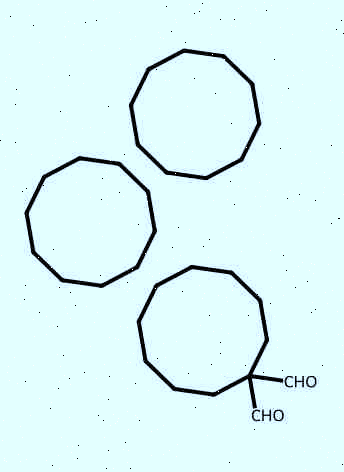 C1CCCCCCCCC1.C1CCCCCCCCC1.O=CC1(C=O)CCCCCCCCC1